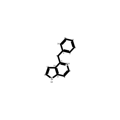 c1ccc(Cc2nccc3sccc23)cc1